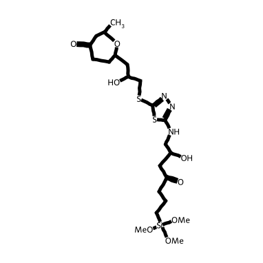 CO[Si](CCCC(=O)CC(O)CNc1nnc(SCC(O)CC2CCC(=O)CC(C)O2)s1)(OC)OC